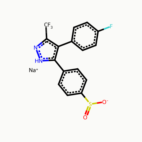 O=S([O-])c1ccc(-c2[nH]nc(C(F)(F)F)c2-c2ccc(F)cc2)cc1.[Na+]